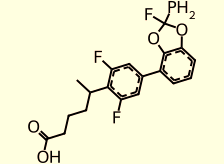 CC(CCCC(=O)O)c1c(F)cc(-c2cccc3c2OC(F)(P)O3)cc1F